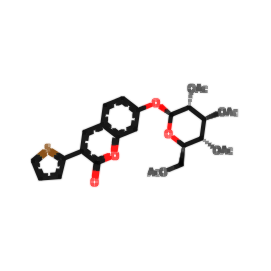 CC(=O)OC[C@H]1O[C@@H](Oc2ccc3cc(-c4cccs4)c(=O)oc3c2)[C@H](OC(C)=O)[C@@H](OC(C)=O)[C@@H]1OC(C)=O